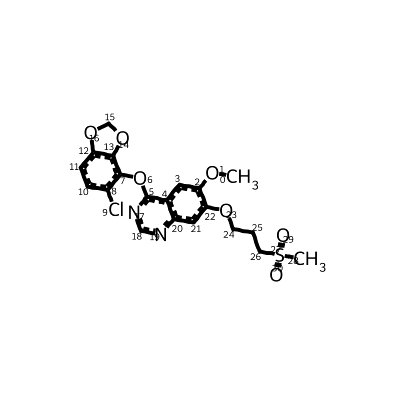 COc1cc2c(Oc3c(Cl)ccc4c3OCO4)ncnc2cc1OCCCS(C)(=O)=O